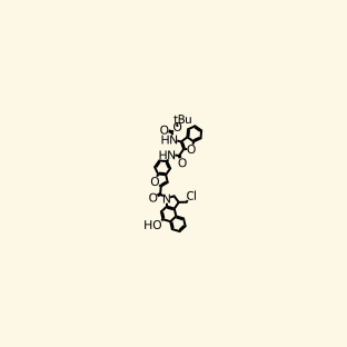 CC(C)(C)OC(=O)Nc1c(C(=O)Nc2ccc3oc(C(=O)N4CC(CCl)c5c4cc(O)c4ccccc54)cc3c2)oc2ccccc12